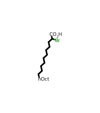 CCCCCCCCCCCCCCCCCC(Br)C(=O)O